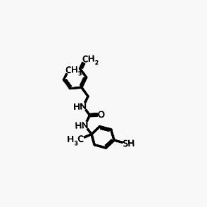 C=C/C=C(\C=C/C)CNC(=O)NC1(C)C=CC(S)=CC1